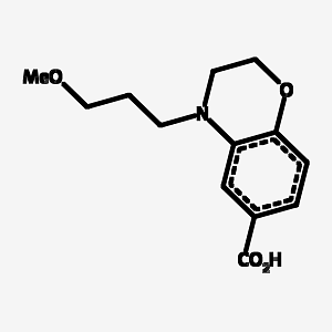 COCCCN1CCOc2ccc(C(=O)O)cc21